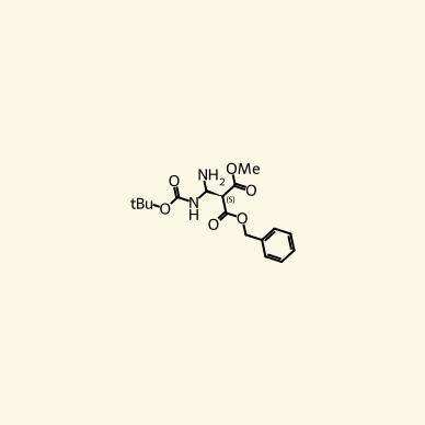 COC(=O)[C@@H](C(=O)OCc1ccccc1)C(N)NC(=O)OC(C)(C)C